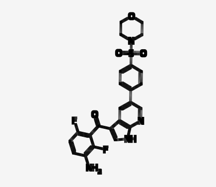 Nc1ccc(F)c(C(=O)c2c[nH]c3ncc(-c4ccc(S(=O)(=O)N5CCOCC5)cc4)cc23)c1F